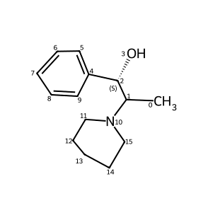 CC([C@@H](O)c1ccccc1)N1CCCCC1